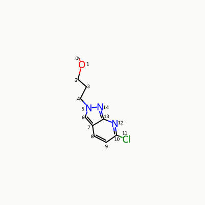 COCCCn1cc2ccc(Cl)nc2n1